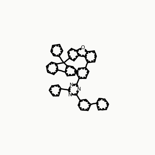 c1ccc(-c2cccc(-c3nc(-c4ccccc4)nc(-c4ccc(-c5cccc6oc7ccc(C8(c9ccccc9)c9ccccc9-c9ccccc98)cc7c56)cc4)n3)c2)cc1